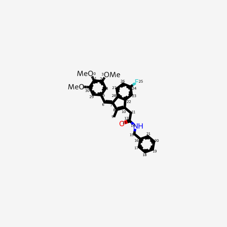 [CH2]Oc1c(OC)cc(/C=C2/C(C)=C(CC(=O)NCc3ccccc3)c3cc(F)ccc32)cc1OC